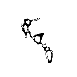 COc1ccc2ncc(=O)n(CCN3CCC(NCc4cc5c(cn4)OCCCO5)CC3)c2c1